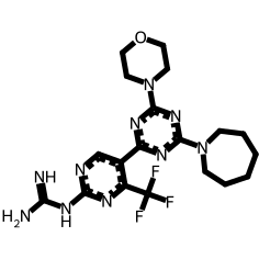 N=C(N)Nc1ncc(-c2nc(N3CCCCCC3)nc(N3CCOCC3)n2)c(C(F)(F)F)n1